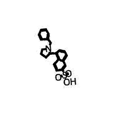 O=S(=O)(O)c1ccc2c(C3CCCN3Cc3ccccc3)cccc2c1